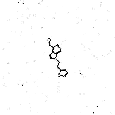 O=Cc1cccc2c1ccn2CCc1cccs1